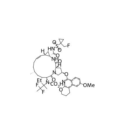 CC[C@@H]1C[C@H](C)CC/C=C\[C@@H]2C[C@@]2(C(=O)NS(=O)(=O)C2(CF)CC2)NC(=O)[C@@H]2C[C@@H](Oc3nc4c(c5cc(OC)ccc35)CCCO4)CN2C(=O)[C@H]1N(C(=O)O)C(C)(C)C(C)(F)F